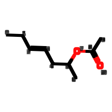 CCC=CCC(C)OC(C)=O